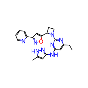 CCc1cc(Nc2cc(C)[nH]n2)nc(N2CCC2c2cc(-c3ccccn3)no2)n1